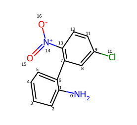 Nc1ccccc1-c1cc(Cl)ccc1[N+](=O)[O-]